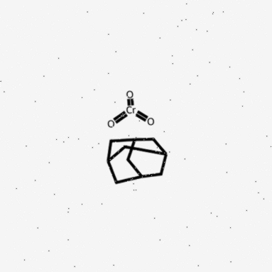 C1C2CC3CC1CC(C2)C3.[O]=[Cr](=[O])=[O]